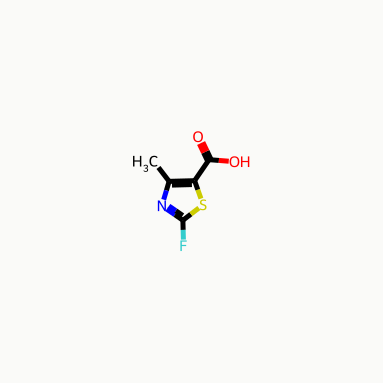 Cc1nc(F)sc1C(=O)O